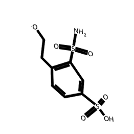 NS(=O)(=O)c1cc(S(=O)(=O)O)ccc1CC[O]